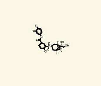 C[C@H]1C[C@@H]2C[C@@H](S(=O)(=O)c3cc(C(=O)Nc4ccc(F)c(F)c4)ccc3Cl)C[C@H]1[C@@]2(O)[C@H](O)CO